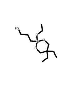 CCO[Si]1(CCCS)OCC(CC)(CC)CO1